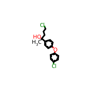 CC(O)(CCCCl)c1ccc(Oc2ccc(Cl)cc2)cc1